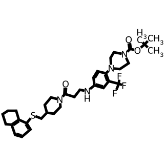 CC(C)(C)OC(=O)N1CCN(c2ccc(NCCC(=O)N3CCC(CSc4cccc5c4CCCC5)CC3)cc2C(F)(F)F)CC1